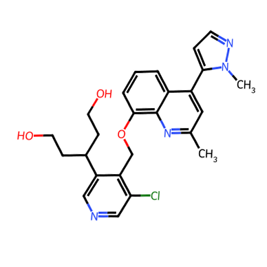 Cc1cc(-c2ccnn2C)c2cccc(OCc3c(Cl)cncc3C(CCO)CCO)c2n1